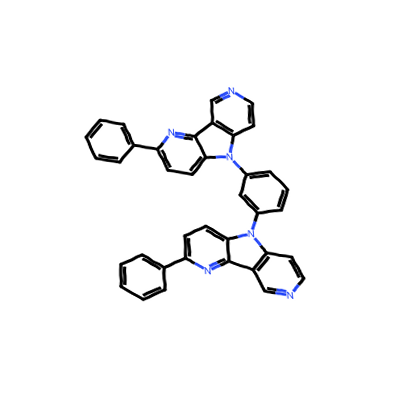 c1ccc(-c2ccc3c(n2)c2cnccc2n3-c2cccc(-n3c4ccncc4c4nc(-c5ccccc5)ccc43)c2)cc1